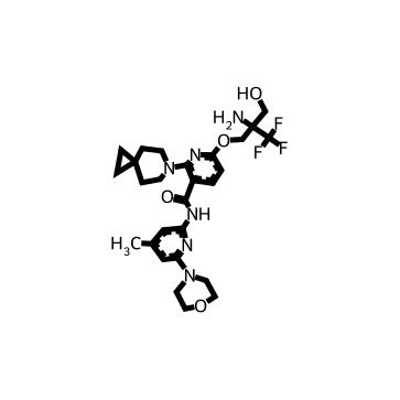 Cc1cc(NC(=O)c2ccc(OCC(N)(CO)C(F)(F)F)nc2N2CCC3(CC2)CC3)nc(N2CCOCC2)c1